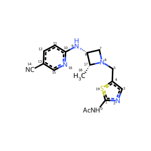 CC(=O)Nc1ncc(CN2C[C@@H](Nc3ccc(C#N)cn3)[C@H]2C)s1